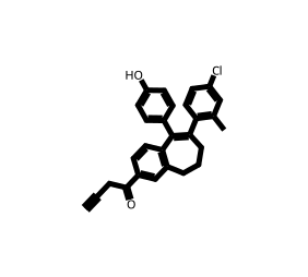 C#CCC(=O)c1ccc2c(c1)CCCC(c1ccc(Cl)cc1C)=C2c1ccc(O)cc1